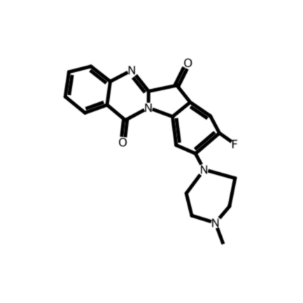 CN1CCN(c2cc3c(cc2F)C(=O)c2nc4ccccc4c(=O)n2-3)CC1